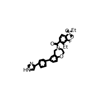 CCc1c(C(=O)N2CCOc3ccc(-c4ccc(-c5c[nH]cn5)cc4)cc3C2)ccc(S(=O)(=O)CC)c1F